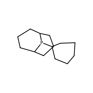 C1CCC(P2C3CCCC2CCC3)CC1